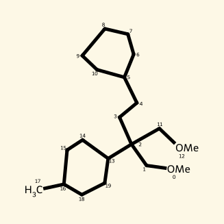 COCC(CCC1CCCCC1)(COC)C1CCC(C)CC1